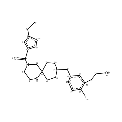 CCc1cc(C(=O)N2CCOC3(CCN(Cc4ccc(F)c(CCO)c4)CC3)C2)cs1